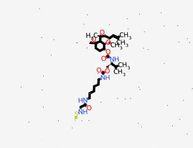 COC1C(OC(=O)N[C@@H](COC(=O)NCCCCCCNC(=O)CNSF)C(C)C)CCC2(CO2)C1[C@]1(C)OC1CC=C(C)C